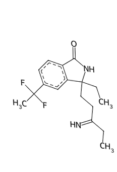 CCC(=N)CCC1(CC)NC(=O)c2ccc(C(C)(F)F)cc21